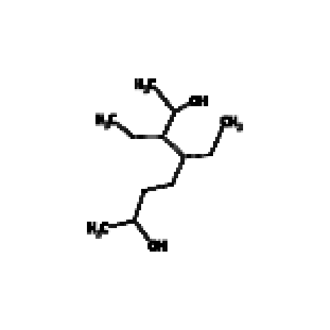 CCC(CCC(C)O)C(CC)C(C)O